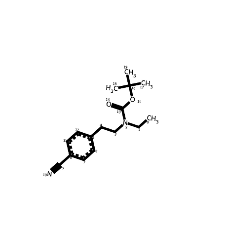 CCN(CCc1ccc(C#N)cc1)C(=O)OC(C)(C)C